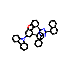 c1ccc(-c2nc(-c3cccc4ccccc34)nc(-c3cccc4oc5cc(-n6c7ccccc7c7ccccc76)cc(-c6ccccc6)c5c34)n2)cc1